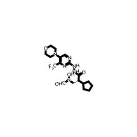 O=CN(O)C[C@H](C(=O)NNc1ncc(N2CCOCC2)c(C(F)(F)F)n1)C1CCCC1